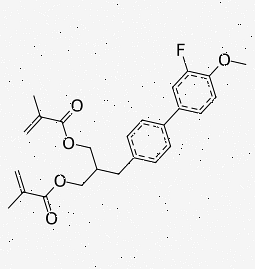 C=C(C)C(=O)OCC(COC(=O)C(=C)C)Cc1ccc(-c2ccc(OC)c(F)c2)cc1